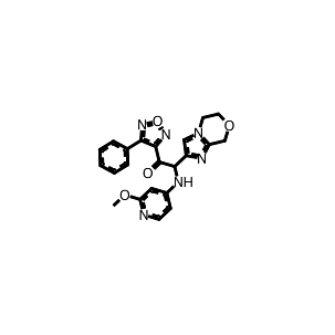 COc1cc(NC(C(=O)c2nonc2-c2ccccc2)c2cn3c(n2)COCC3)ccn1